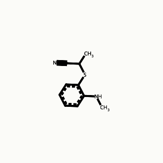 CNc1ccccc1SC(C)C#N